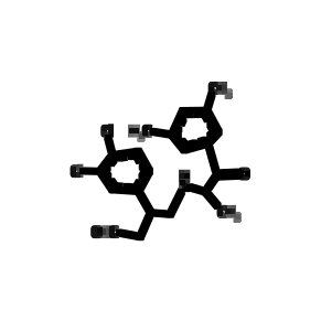 Cc1cc(C)cc(C(=O)C(C)NCC(CC=O)c2ccc(Cl)c(Cl)c2)c1